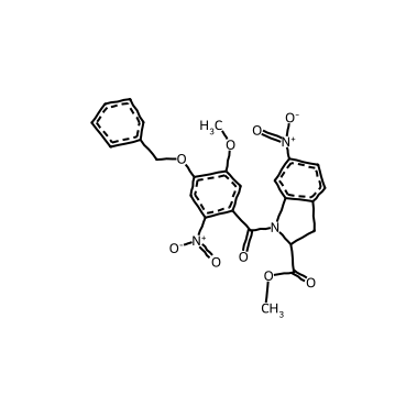 COC(=O)C1Cc2ccc([N+](=O)[O-])cc2N1C(=O)c1cc(OC)c(OCc2ccccc2)cc1[N+](=O)[O-]